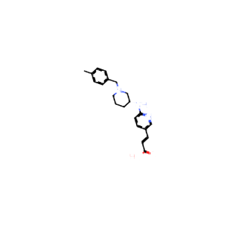 Cc1ccc(CN2CCC[C@@H](Nc3ccc(C=CC(=O)O)cn3)C2)cc1